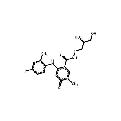 Cc1cc(I)ccc1Nc1cc(=O)n(C)cc1C(=O)NOCC(O)CO